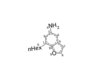 CCCCCCc1cc(N)cc2ccoc12